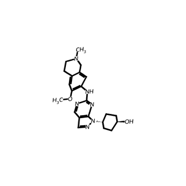 COc1cc2c(cc1Nc1ncc3cnn([C@H]4CC[C@H](O)CC4)c3n1)CN(C)CC2